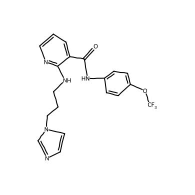 O=C(Nc1ccc(OC(F)(F)F)cc1)c1cccnc1NCCCn1ccnc1